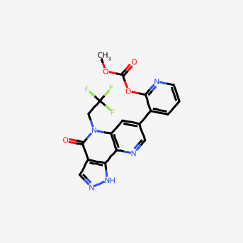 COC(=O)Oc1ncccc1-c1cnc2c3[nH]ncc3c(=O)n(CC(F)(F)F)c2c1